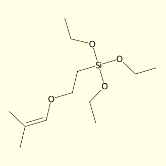 CCO[Si](CCOC=C(C)C)(OCC)OCC